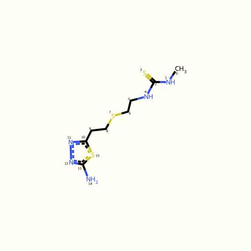 CNC(=S)NCCSCCc1nnc(N)s1